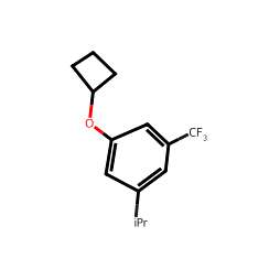 CC(C)c1cc(OC2CCC2)cc(C(F)(F)F)c1